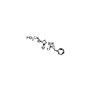 O=C(O)CON1C[C@H](NC(=O)OCc2ccccc2)C1=O